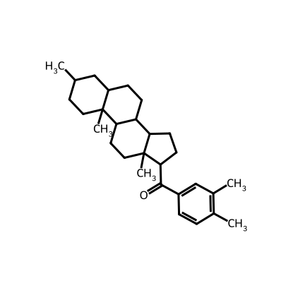 Cc1ccc(C(=O)C2CCC3C4CCC5CC(C)CCC5(C)C4CCC23C)cc1C